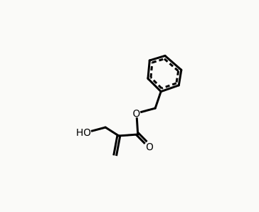 C=C(CO)C(=O)OCc1ccccc1